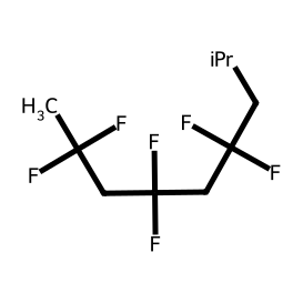 CC(C)CC(F)(F)CC(F)(F)CC(C)(F)F